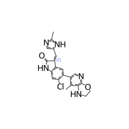 Cc1ncc(/C=C2\C(=O)Nc3cc(Cl)c(-c4cnc5c(c4C)NCCO5)cc32)[nH]1